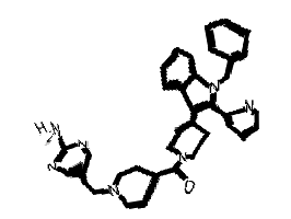 Nc1ncc(CN2CCC(C(=O)N3CCC(c4c(-c5ccccn5)n(Cc5ccccc5)c5ccccc45)CC3)CC2)cn1